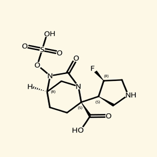 O=C1N(OS(=O)(=O)O)[C@@H]2CC[C@@](C(=O)O)([C@@H]3CNC[C@@H]3F)N1C2